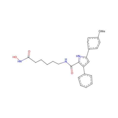 COc1ccc(-c2cc(-c3ccccc3)c(C(=O)NCCCCCC(=O)NO)[nH]2)cc1